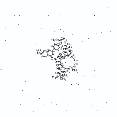 COc1ccc2c(O[C@@H]3C[C@H]4C(=O)N[C@]5(C(=O)NS(=O)(=O)C6(C)CC6)C[C@H]5C=CCC[C@@H](C)C[C@@H](C)[C@H](NC(=O)NC(C)(C)C)C(=O)N4C3)nc(-c3ccc(OC(C)C)nc3)cc2c1